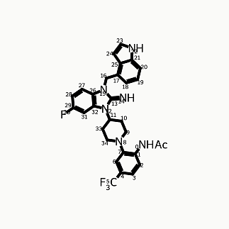 CC(=O)Nc1ccc(C(F)(F)F)cc1N1CCC(n2c(=N)n(Cc3cccc4[nH]ccc34)c3ccc(F)cc32)CC1